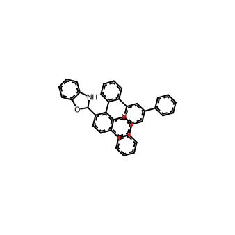 c1ccc(-c2cc(-c3ccccc3)nc(-c3ccccc3-c3c(C4Nc5ccccc5O4)ccc4ccccc34)c2)cc1